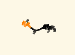 [AlH3].[SiH3][Ti][PH2]